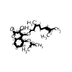 CC(C)=CCC/C(C)=C/COc1c(O)c(=O)oc2cccc(OC(C)C)c12